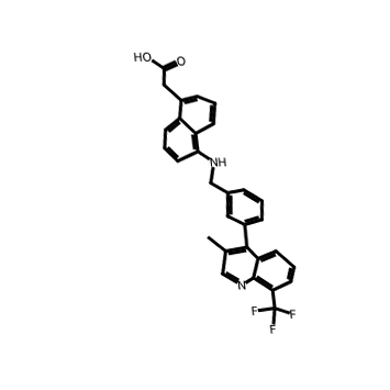 Cc1cnc2c(C(F)(F)F)cccc2c1-c1cccc(CNc2cccc3c(CC(=O)O)cccc23)c1